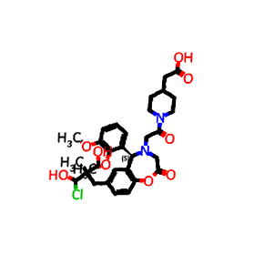 COc1cccc([C@@H]2c3cc(CC(C)(CO)C(O)Cl)ccc3OC(=O)CN2CC(=O)N2CCC(CC(=O)O)CC2)c1OC